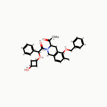 COC(=O)C1Cc2c(ccc(C)c2OCc2ccccc2)CN1C(=O)C(OC1CC(O)C1)c1ccccc1